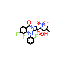 CC(C)CC([N+](=O)[O-])C1(OO)CN(C(=O)c2ccc(F)c(F)c2Nc2ccc(I)cc2F)C1